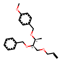 C=CCOC[C@@H](OCc1ccccc1)[C@H](C)OCc1ccc(OC)cc1